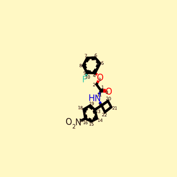 O=C(COc1ccccc1F)NC1(c2ccc([N+](=O)[O-])cc2)CCC1